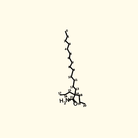 CCCCCCCCCCCCCCC(CCC)(CCC)C(N)=O